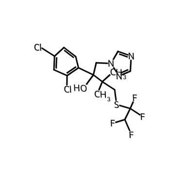 CC(C)(CSC(F)(F)C(F)F)C(O)(Cn1cncn1)c1ccc(Cl)cc1Cl